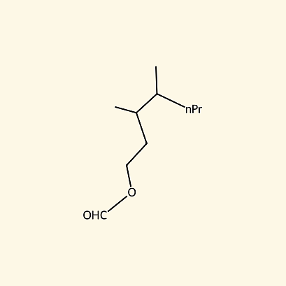 CCCC(C)C(C)CCOC=O